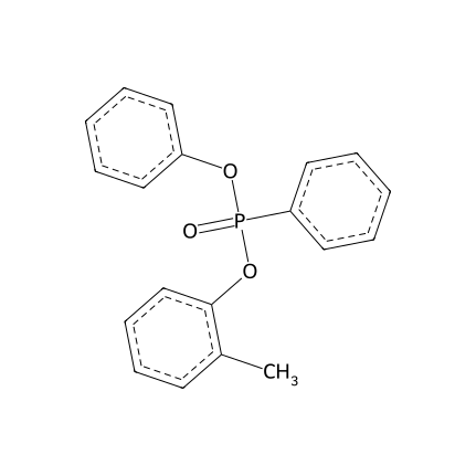 Cc1ccccc1OP(=O)(Oc1ccccc1)c1ccccc1